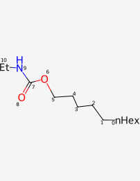 CCCCCCCCCCCOC(=O)NCC